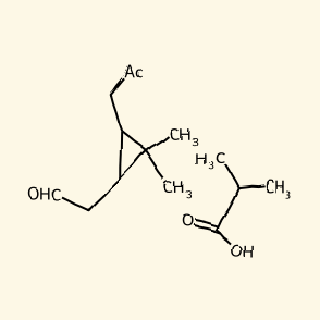 CC(=O)CC1C(CC=O)C1(C)C.CC(C)C(=O)O